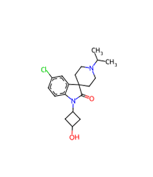 CC(C)N1CCC2(CC1)C(=O)N(C1CC(O)C1)c1ccc(Cl)cc12